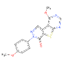 COc1ccc(-n2ncc3c(sc4ncnc(OC)c43)c2=O)cc1